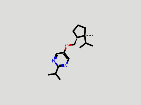 CC(C)c1ncc(OC[C@H]2CCC[C@@]2(C)C(C)C)cn1